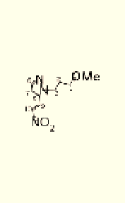 COCCCn1nccc1/C=C/[N+](=O)[O-]